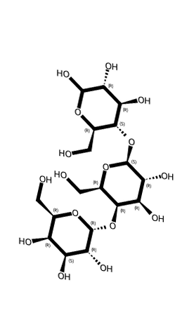 OC[C@H]1O[C@H](O[C@@H]2[C@H](O)[C@@H](O)[C@H](O[C@H]3[C@H](O)[C@@H](O)C(O)O[C@@H]3CO)O[C@@H]2CO)[C@H](O)[C@@H](O)[C@H]1O